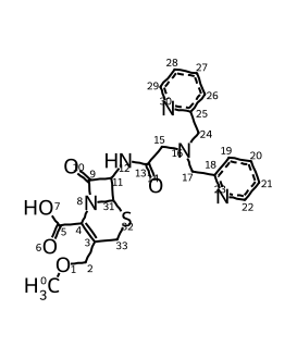 COCC1=C(C(=O)O)N2C(=O)C(NC(=O)CN(Cc3ccccn3)Cc3ccccn3)C2SC1